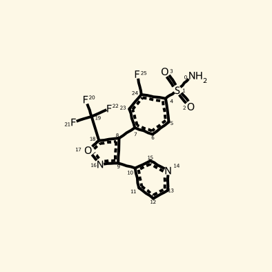 NS(=O)(=O)c1ccc(-c2c(-c3cccnc3)noc2C(F)(F)F)cc1F